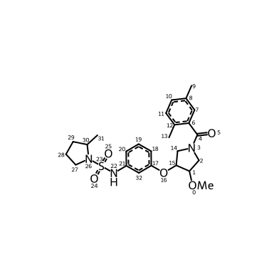 COC1CN(C(=O)c2cc(C)ccc2C)CC1Oc1cccc(NS(=O)(=O)N2CCCC2C)c1